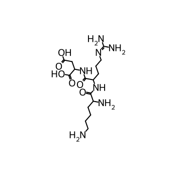 NCCCCC(N)C(=O)NC(CCCN=C(N)N)C(=O)NC(CC(=O)O)C(=O)O